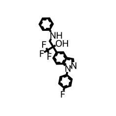 OC(CNc1ccccc1)(c1ccc2c(cnn2-c2ccc(F)cc2)c1)C(F)(F)F